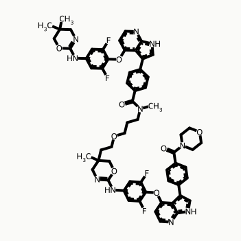 CN(CCCOCCC1(C)CN=C(Nc2cc(F)c(Oc3ccnc4[nH]cc(-c5ccc(C(=O)N6CCOCC6)cc5)c34)c(F)c2)OC1)C(=O)c1ccc(-c2c[nH]c3nccc(Oc4c(F)cc(NC5=NCC(C)(C)CO5)cc4F)c23)cc1